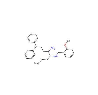 CCOc1ccccc1CNC(CCSC)C(N)CCC(c1ccccc1)c1ccccc1